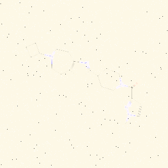 Cn1ccc(C(=O)N2CCC(c3nc4c(s3)CCN(C3CCC3)CC4)CC2)n1